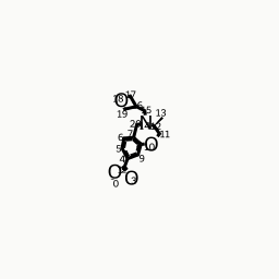 COC(=O)c1ccc2c(c1)OC[C@H](C)N(CC1COC1)C2